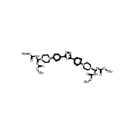 CC(C)(C)OC(=O)/N=C(/NC(=O)OC(C)(C)C)N1CCN(c2ccc(-c3nnc(-c4ccc(N5CCN(/C(=N/C(=O)OC(C)(C)C)NC(=O)OC(C)(C)C)CC5)cc4)o3)cc2)CC1